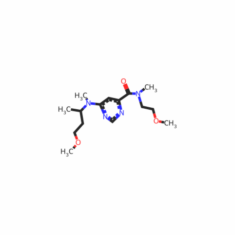 COCCC(C)N(C)c1cc(C(=O)N(C)CCOC)ncn1